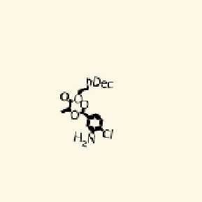 CCCCCCCCCCCCOC(=O)C(C)OC(=O)c1ccc(Cl)c(N)c1